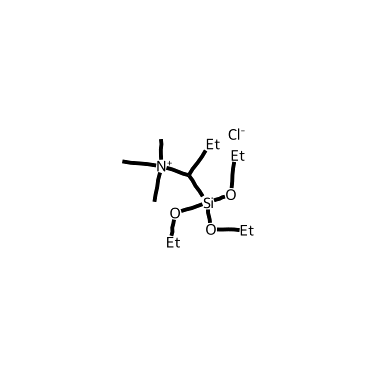 CCO[Si](OCC)(OCC)C(CC)[N+](C)(C)C.[Cl-]